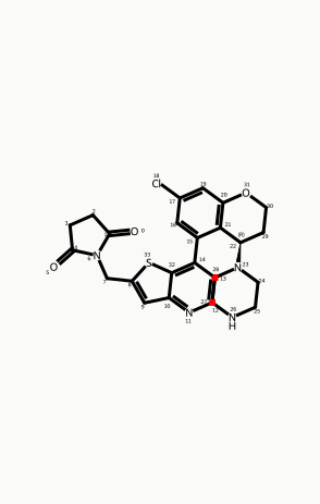 O=C1CCC(=O)N1Cc1cc2nccc(-c3cc(Cl)cc4c3[C@H](N3CCNCC3)CCO4)c2s1